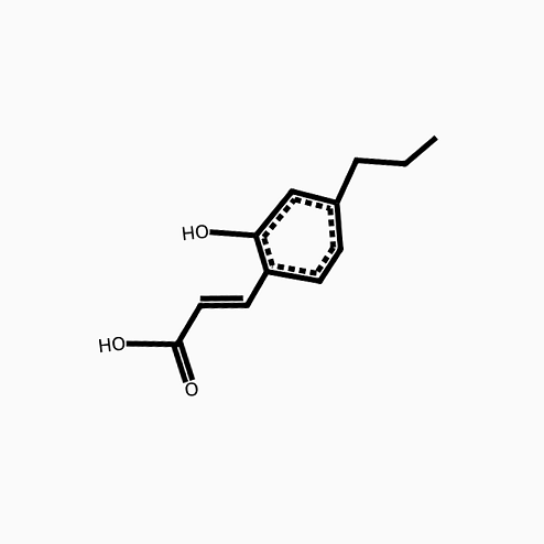 CCCc1ccc(C=CC(=O)O)c(O)c1